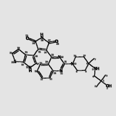 CC(C)(O)CNC1(C)CCN(c2nc(C3=C(c4c[nH]c5sccc45)C(=O)NC3=O)c3ccccc3n2)CC1